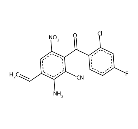 C=Cc1cc([N+](=O)[O-])c(C(=O)c2ccc(F)cc2Cl)c(C#N)c1N